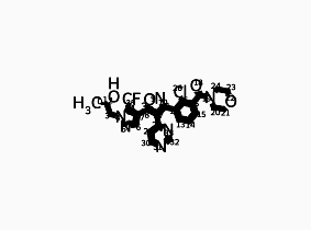 C[C@@H](O)Cn1ncc(-c2onc(-c3cccc(C(=O)N4CCOCC4)c3Cl)c2-c2ccncn2)c1C(F)(F)F